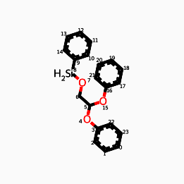 c1ccc(OC(CO[SiH2]c2ccccc2)Oc2ccccc2)cc1